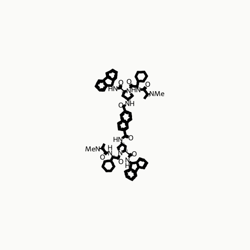 CN[C@@H](C)C(=O)N[C@H](C(=O)N1C[C@@H](NC(=O)c2ccc3cc(C(=O)N[C@H]4C[C@@H](C(=O)NC5c6ccccc6C6C=CC=CC65)N(C(=O)[C@@H](NC(=O)[C@H](C)NC)C5CCCCC5)C4)ccc3c2)C[C@H]1C(=O)NC1c2ccccc2-c2ccccc21)C1CCCCC1